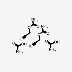 C#CCOC(N)=O.C#CCOC(N)=O.NC(=O)O.NC(=O)O